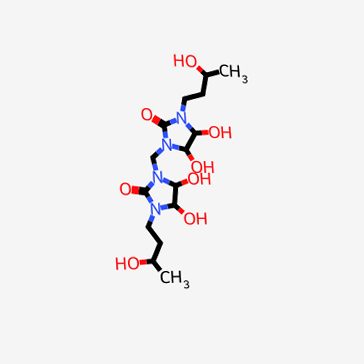 CC(O)CCN1C(=O)N(CN2C(=O)N(CCC(C)O)C(O)C2O)C(O)C1O